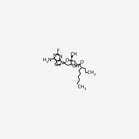 C#C[C@]1(COC(=O)C(CCC)CCCCCC)O[C@@H](n2cnc3c(N)nc(F)nc32)C[C@@H]1O